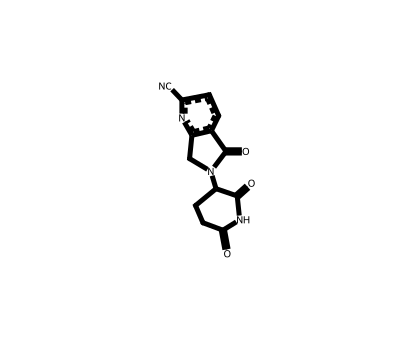 N#Cc1ccc2c(n1)CN(C1CCC(=O)NC1=O)C2=O